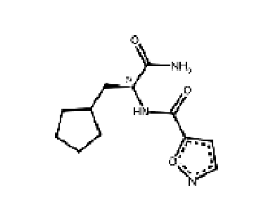 NC(=O)[C@H](CC1CCCC1)NC(=O)c1ccno1